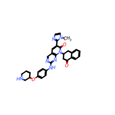 Cn1ccnc1-c1cc2cnc(Nc3ccc(OC4CCCNC4)cc3)nc2n(C2CC(=O)c3ccccc3C2)c1=O